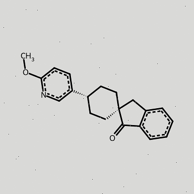 COc1ccc([C@H]2CC[C@]3(CC2)Cc2ccccc2C3=O)cn1